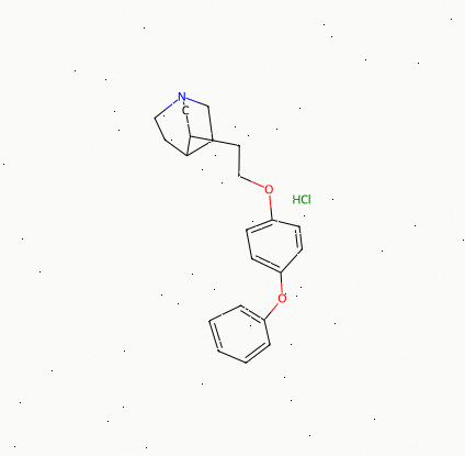 Cl.c1ccc(Oc2ccc(OCCC3CN4CCC3CC4)cc2)cc1